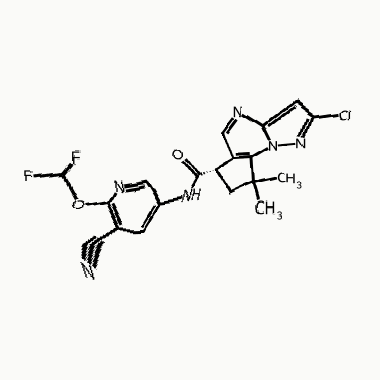 CC1(C)C[C@H](C(=O)Nc2cnc(OC(F)F)c(C#N)c2)c2cnc3cc(Cl)nn3c21